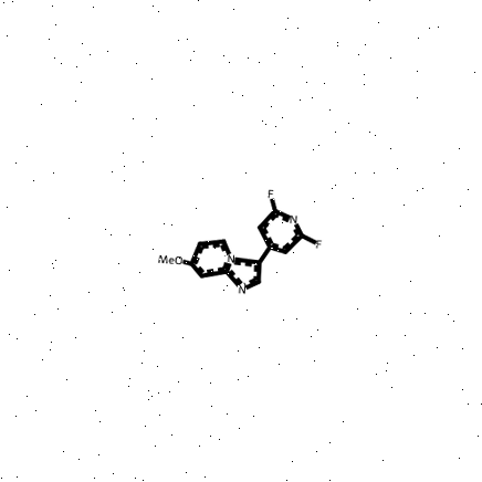 COc1ccn2c(-c3cc(F)nc(F)c3)cnc2c1